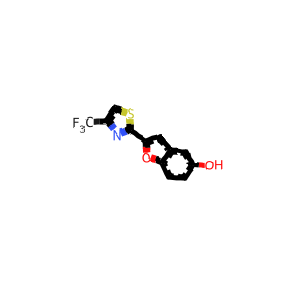 Oc1ccc2oc(-c3nc(C(F)(F)F)cs3)cc2c1